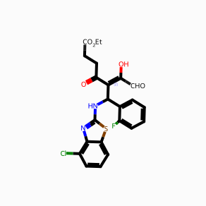 CCOC(=O)CCC(=O)/C(=C(\O)C=O)C(Nc1nc2c(Cl)cccc2s1)c1ccccc1F